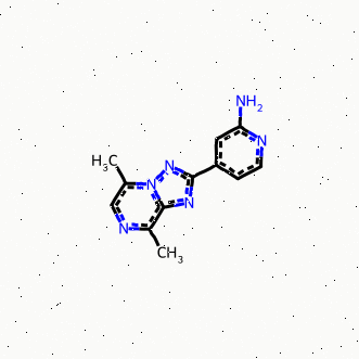 Cc1ncc(C)n2nc(-c3ccnc(N)c3)nc12